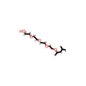 CC(C)CC(C)OCCOCCOCCOCCO